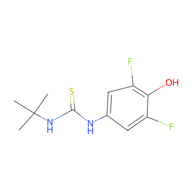 CC(C)(C)NC(=S)Nc1cc(F)c(O)c(F)c1